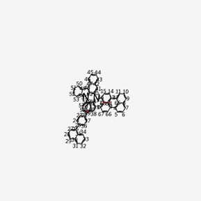 c1ccc(-c2cccc3cccc(-c4ccc(N(c5ccc(-c6ccc(-c7cccc8ccccc78)cc6)cc5)c5cc6ccccc6c6c7ccccc7n(-c7ccccc7)c56)cc4)c23)cc1